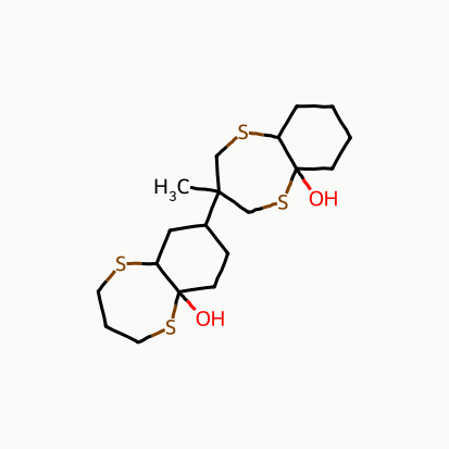 CC1(C2CCC3(O)SCCCSC3C2)CSC2CCCCC2(O)SC1